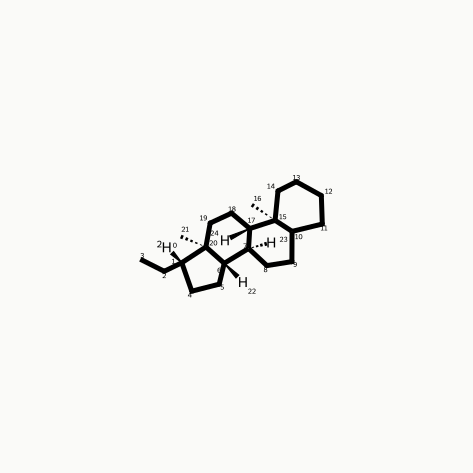 [2H][C@]1(CC)CC[C@H]2[C@@H]3CCC4CCCC[C@]4(C)[C@H]3CC[C@@]21C